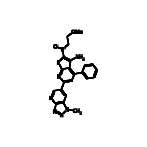 COCC[S+]([O-])c1sc2nc(-c3cnc4nnn(C)c4c3)cc(-c3ccccc3)c2c1N